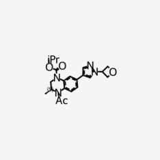 CC(=O)N1c2ccc(-c3cnn(C4COC4)c3)cc2N(C(=O)OC(C)C)C[C@@H]1C